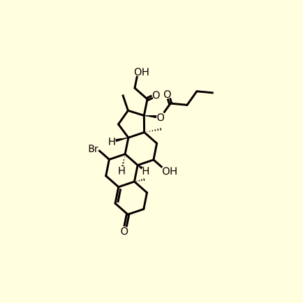 CCCC(=O)O[C@]1(C(=O)CO)C(C)C[C@H]2[C@@H]3C(Br)CC4=CC(=O)CC[C@]4(C)[C@H]3C(O)C[C@@]21C